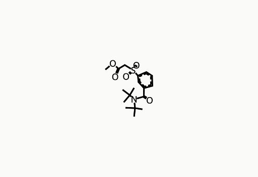 COC(=O)CS(=O)(=O)c1cccc(C(=O)N(C(C)(C)C)C(C)(C)C)c1